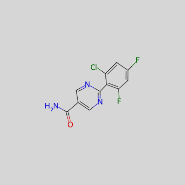 NC(=O)c1cnc(-c2c(F)cc(F)cc2Cl)nc1